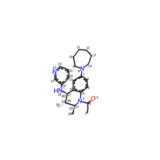 CC(=O)N1c2ccc(N3CCCCCC3)cc2[C@H](Nc2cccnc2)[C@@H](C)[C@@H]1C